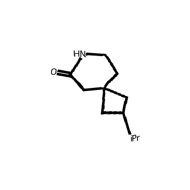 CC(C)C1CC2(CCNC(=O)C2)C1